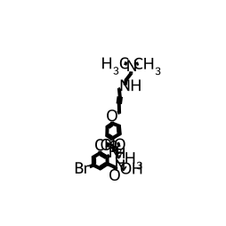 Cc1cc(Br)cc(C(=O)NO)c1N(C)S(=O)(=O)c1ccc(OCC#CCNCCN(C)C)cc1